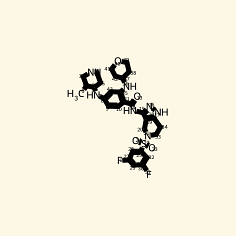 CC1CNCCC1Nc1ccc(C(=O)Nc2n[nH]c3c2CN(S(=O)(=O)c2cc(F)cc(F)c2)CC3)c(NC2CCOCC2)c1